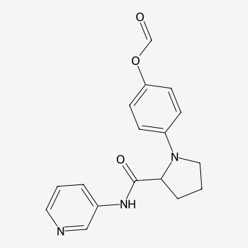 O=COc1ccc(N2CCCC2C(=O)Nc2cccnc2)cc1